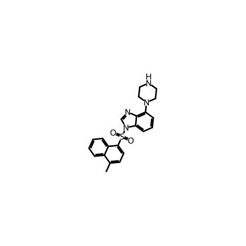 Cc1ccc(S(=O)(=O)n2cnc3c(N4CCNCC4)cccc32)c2ccccc12